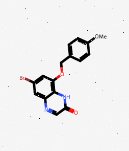 COc1ccc(COc2cc(Br)cc3ncc(=O)[nH]c23)cc1